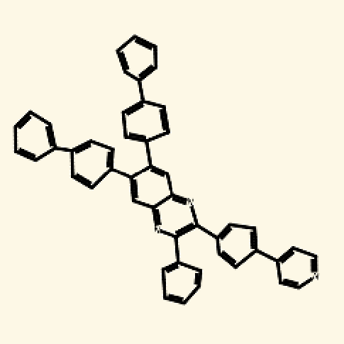 c1ccc(-c2ccc(-c3cc4nc(-c5ccccc5)c(-c5ccc(-c6ccncc6)cc5)nc4cc3-c3ccc(-c4ccccc4)cc3)cc2)cc1